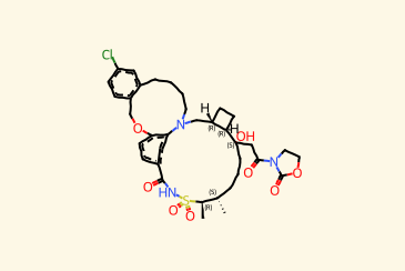 C[C@@H]1[C@@H](C)CCC[C@](O)(CC(=O)N2CCOC2=O)[C@@H]2CC[C@H]2CN2CCCCc3cc(Cl)ccc3COc3ccc(cc32)C(=O)NS1(=O)=O